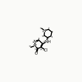 CN1CCCC(Nc2cnn(C)c(=O)c2Cl)C1